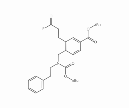 CCCCOC(=O)N(CCc1ccccc1)Cc1ccc(C(=O)OC(C)(C)C)cc1CCC(=O)F